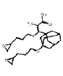 CC(C(=O)O)=C(OCCCC1CO1)C12CC3CC(CC(OCCCC4CO4)(C3)C1)C2